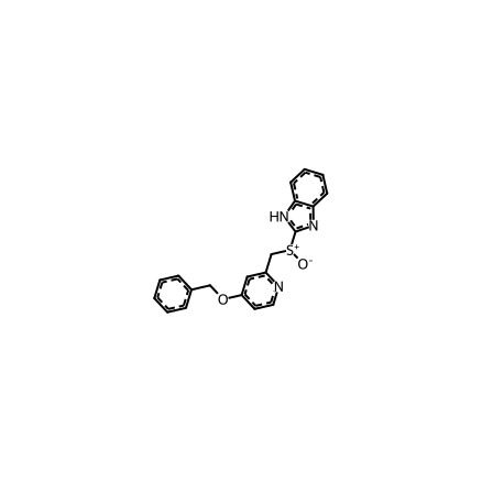 [O-][S+](Cc1cc(OCc2ccccc2)ccn1)c1nc2ccccc2[nH]1